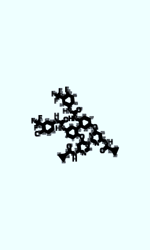 O=C(Nc1ccc(Oc2cc(NC(=O)C3CC3)ncn2)c(-c2cc(Oc3cc(NC(=O)C4CC4)ncn3)ccc2NC(=O)Nc2ccc(F)c(C(F)(F)F)c2)c1)Nc1ccc(Cl)c(C(F)(F)F)c1